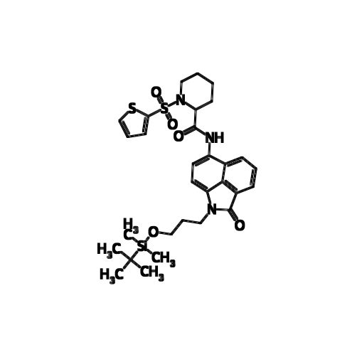 CC(C)(C)[Si](C)(C)OCCCN1C(=O)c2cccc3c(NC(=O)C4CCCCN4S(=O)(=O)c4cccs4)ccc1c23